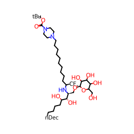 CCCCCCCCCCCCCC[C@@H](O)[C@@H](O)[C@H](COC1OC(CO)C(O)C(O)C1O)NC(CCCCCCCCCCN1CCN(C(=O)OC(C)(C)C)CC1)C(F)(F)F